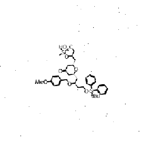 COc1ccc(CO[C@H](CCO[Si](c2ccccc2)(c2ccccc2)C(C)(C)C)C[C@@H]2CC(=O)C[C@H](CC(CC(=O)O)O[Si](C)(C)C)O2)cc1